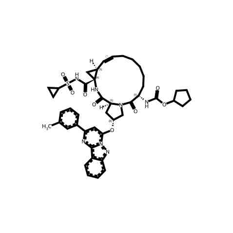 Cc1cccc(-c2cc(O[C@@H]3C[C@H]4C(=O)N[C@]5(C(=O)NS(=O)(=O)C6CC6)C[C@H]5/C=C\CCCCC[C@H](NC(=O)OC5CCCC5)C(=O)N4C3)n3nc4ccccc4c3n2)c1